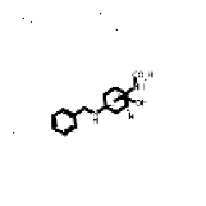 O=C(O)NC12CCC(NCc3ccccc3)(CC1)C[C@@H]2O